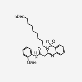 CCCCCCCCCCCCCCCCCCN1C(CC(=O)Nc2ccccc2OC)=Nc2ccccc2S1(=O)=O